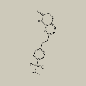 CN(C)S(=O)(=O)c1ccc(CCc2ccc3c(c2)NC(=O)CO3)cc1